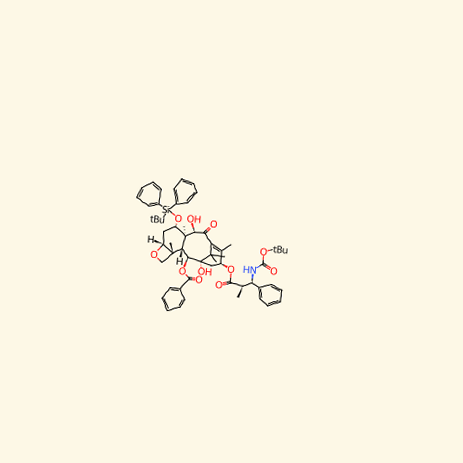 CC1=C2C(=O)[C@H](O)[C@]3(C)[C@@H](O[Si](c4ccccc4)(c4ccccc4)C(C)(C)C)C[C@H]4OC[C@@]4(C)[C@H]3[C@H](OC(=O)c3ccccc3)[C@](O)(C[C@@H]1OC(=O)[C@H](C)[C@@H](NC(=O)OC(C)(C)C)c1ccccc1)C2(C)C